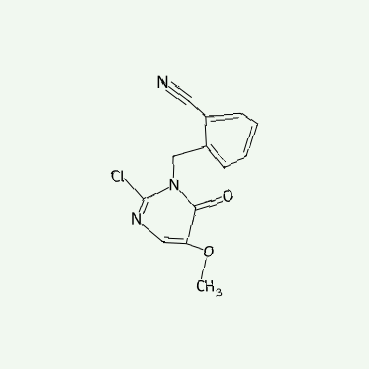 COc1cnc(Cl)n(Cc2ccccc2C#N)c1=O